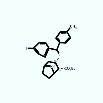 CCOC(=O)[C@@H]1C2CCC(C[C@@H]1OC(c1ccc(C)cc1)c1ccc(F)cc1)N2